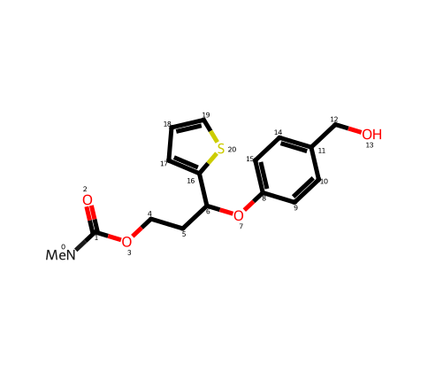 CNC(=O)OCCC(Oc1ccc(CO)cc1)c1cccs1